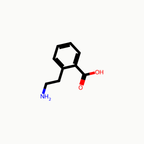 NCCc1ccccc1C(=O)O